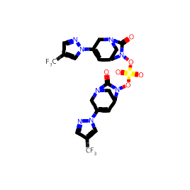 O=C1N2CC(n3cc(C(F)(F)F)cn3)=CC(C2)N1OS(=O)(=O)ON1C(=O)N2CC(n3cc(C(F)(F)F)cn3)=CC1C2